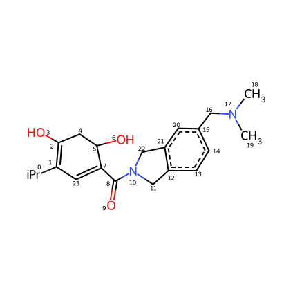 CC(C)C1=C(O)CC(O)C(C(=O)N2Cc3ccc(CN(C)C)cc3C2)=C1